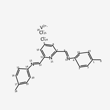 Cc1ccc(N=Cc2cccc(C=Nc3ccc(C)cc3)n2)cc1.[Cl-].[Cl-].[V+2]